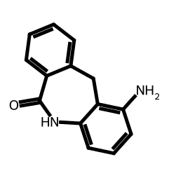 Nc1cccc2c1Cc1ccccc1C(=O)N2